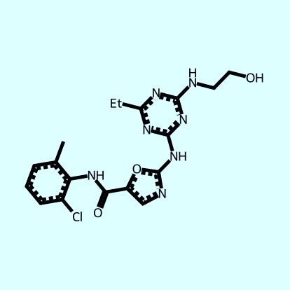 CCc1nc(NCCO)nc(Nc2ncc(C(=O)Nc3c(C)cccc3Cl)o2)n1